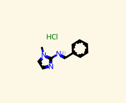 Cl.Cn1ccnc1/N=C/c1ccccc1